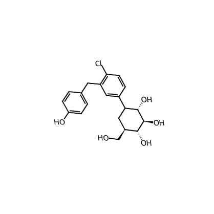 OC[C@H]1CC(c2ccc(Cl)c(Cc3ccc(O)cc3)c2)[C@H](O)[C@@H](O)[C@@H]1O